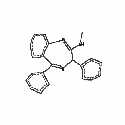 CNC1=Nc2ccccc2C(c2ccccc2)=NC1c1ccccc1